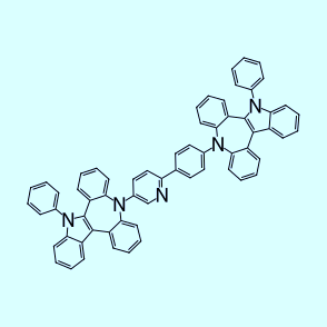 c1ccc(-n2c3c(c4ccccc42)-c2ccccc2N(c2ccc(-c4ccc(N5c6ccccc6-c6c(n(-c7ccccc7)c7ccccc67)-c6ccccc65)cn4)cc2)c2ccccc2-3)cc1